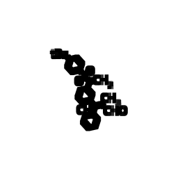 C=C(c1ccc(C)c(/C(=C(\C)C=O)c2ccccc2)c1)S(=O)(=O)c1ccc(C(C)(C)C)cc1